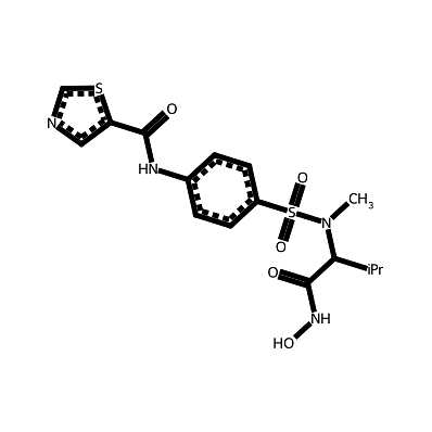 CC(C)C(C(=O)NO)N(C)S(=O)(=O)c1ccc(NC(=O)c2cncs2)cc1